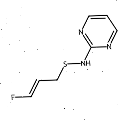 FC=CCSNc1ncccn1